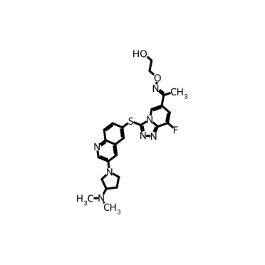 CC(=NOCCO)c1cc(F)c2nnc(Sc3ccc4ncc(N5CCC(N(C)C)C5)cc4c3)n2c1